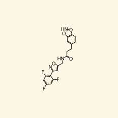 O=C(CCc1ccc2c(c1)ONO2)NCc1cc(-c2c(F)cc(F)cc2F)no1